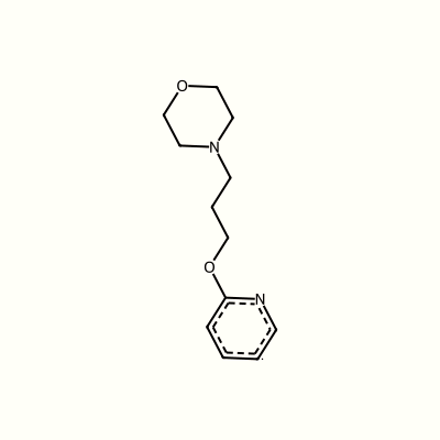 [c]1ccc(OCCCN2CCOCC2)nc1